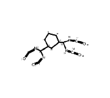 O=C=NC(N=C=O)C1CCCC(C(N=C=O)N=C=O)C1